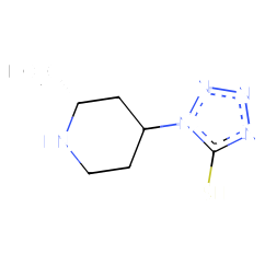 O=C(O)[C@@H]1CC(n2nnnc2S)CCN1